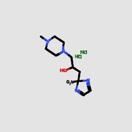 CN1CCN(CC(O)CC2([N+](=O)[O-])N=CC=N2)CC1.Cl.Cl